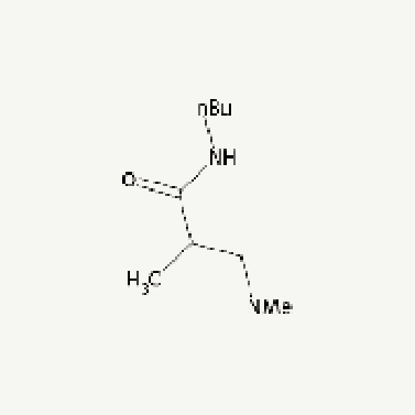 CCCCNC(=O)C(C)CNC